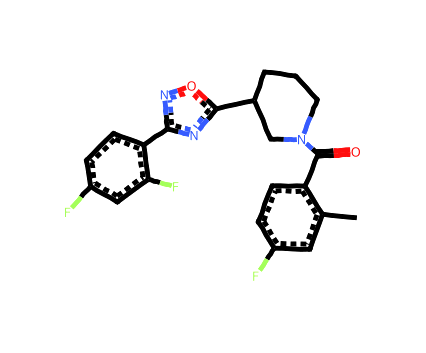 Cc1cc(F)ccc1C(=O)N1CCCC(c2nc(-c3ccc(F)cc3F)no2)C1